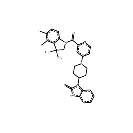 CC1(C)CN(C(=O)c2cc(N3CCC(n4c(=O)[nH]c5ncccc54)CC3)ccn2)c2ccc(F)c(F)c21